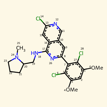 COc1cc(OC)c(Cl)c(-c2cc3cnc(Cl)cc3c(NCC3CCCN3C)n2)c1Cl